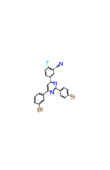 N#Cc1cc(-c2cc(-c3cccc(Br)c3)nc(-c3ccc(Br)cc3)n2)ccc1F